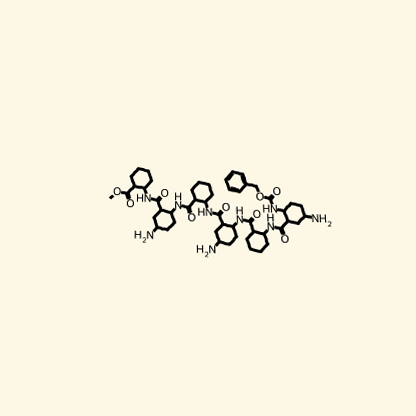 COC(=O)C1CCCCC1NC(=O)C1CC(N)CCC1NC(=O)C1CCCCC1NC(=O)C1CC(N)CCC1NC(=O)C1CCCCC1NC(=O)C1CC(N)CCC1NC(=O)OCc1ccccc1